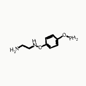 NCCNOc1ccc(OP)cc1